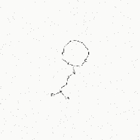 CC(C)N(CCON=C1CCCCCCCCCCC1)C(C)C